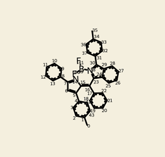 Cc1ccc(C2=CC(c3ccccc3)=N/C2=C(/c2ccccc2)c2c3ccccc3c(-c3ccc(C)cc3)n2B(F)F)cc1